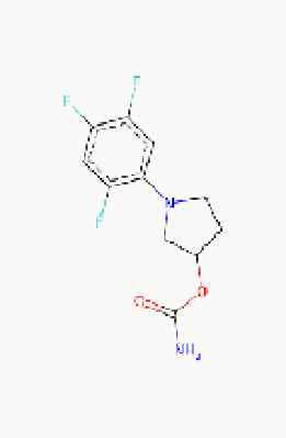 NC(=O)OC1CCN(c2cc(F)c(F)cc2F)C1